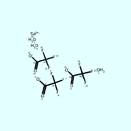 O.O.O.O=C([O-])C(F)(F)F.O=C([O-])C(F)(F)F.O=C([O-])C(F)(F)F.[Gd+3]